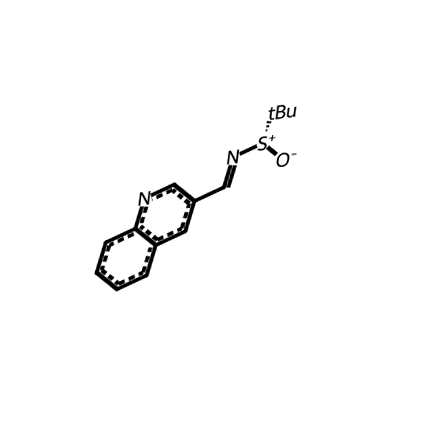 CC(C)(C)[S@+]([O-])/N=C/c1cnc2ccccc2c1